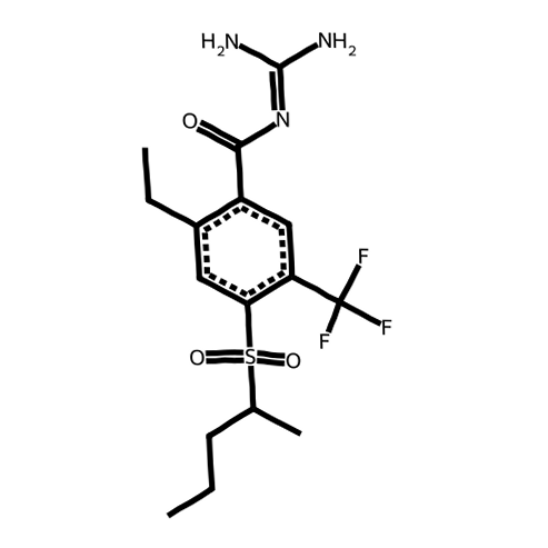 CCCC(C)S(=O)(=O)c1cc(CC)c(C(=O)N=C(N)N)cc1C(F)(F)F